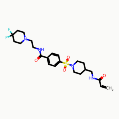 C=CC(=O)NCC1CCN(S(=O)(=O)c2ccc(C(=O)NCCN3CCC(F)(F)CC3)cc2)CC1